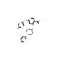 Cc1cnc(Nc2cc(NC3CCN(c4ccc(C#N)nn4)CC3)c(C(N)=O)cn2)cn1